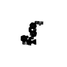 Cc1cccc(Cl)c1-c1nnn(C2CC2)c1COc1ccc2c(n1)CCc1ccc(C(=O)O)cc1O2